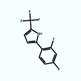 Fc1ccc(-c2ccc(C(F)(F)F)[nH]2)c(F)c1